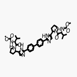 COC(=O)N[C@H](C(=O)N1CCCC1c1cnc(-c2ccc(-c3ccc(-c4ncc(C5CCCN5C(=O)[C@@H](NC(=O)OC)C(C)C)[nH]4)cc3)cc2)[nH]1)C(C)C